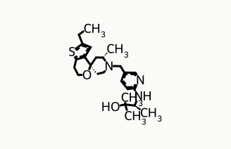 CCc1cc2c(s1)CCO[C@@]21CCN(Cc2ccc(N[C@@H](C)C(C)(C)O)nc2)[C@@H](C)C1